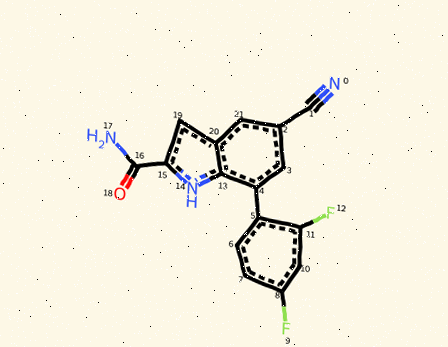 N#Cc1cc(-c2ccc(F)cc2F)c2[nH]c(C(N)=O)cc2c1